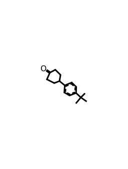 CC(C)(C)c1ccc(C2CCC(=O)CC2)cc1